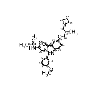 COc1cccc(-c2nc3ccc(OCC(C)CN4CCC4)cc3c(=O)n2CC(=O)NC(C)C)c1